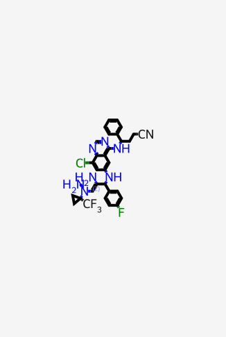 N#CCCC(Nc1ncnc2c(Cl)cc(NC(/C(N)=C/N(N)C3(C(F)(F)F)CC3)c3ccc(F)cc3)cc12)c1ccccc1